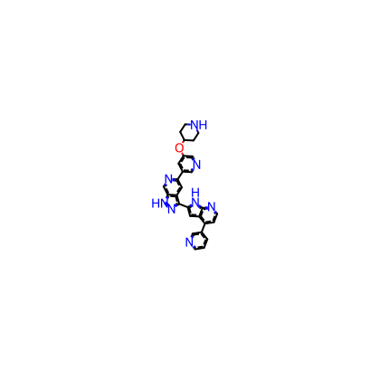 c1cncc(-c2ccnc3[nH]c(-c4n[nH]c5cnc(-c6cncc(OC7CCNCC7)c6)cc45)cc23)c1